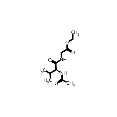 CCOC(=O)CNC(=O)[C@@H](NC(C)=O)C(C)C